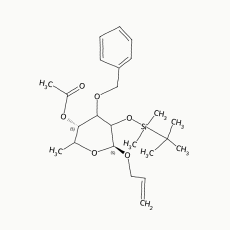 C=CCO[C@H]1OC(C)[C@H](OC(C)=O)C(OCc2ccccc2)C1O[Si](C)(C)C(C)(C)C